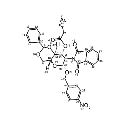 CC(=O)CCC(=O)O[C@H]1[C@@H]2OC(c3ccccc3)OC[C@H]2O[C@@H](OCc2ccc([N+](=O)[O-])cc2)[C@@H]1N1C(=O)c2ccccc2C1=O